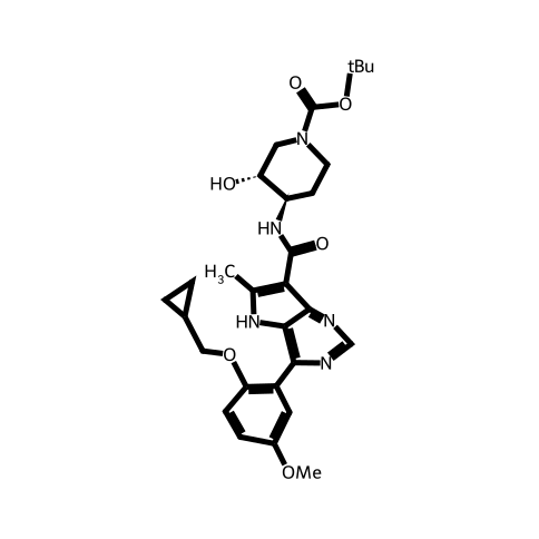 COc1ccc(OCC2CC2)c(-c2ncnc3c(C(=O)N[C@@H]4CCN(C(=O)OC(C)(C)C)C[C@H]4O)c(C)[nH]c23)c1